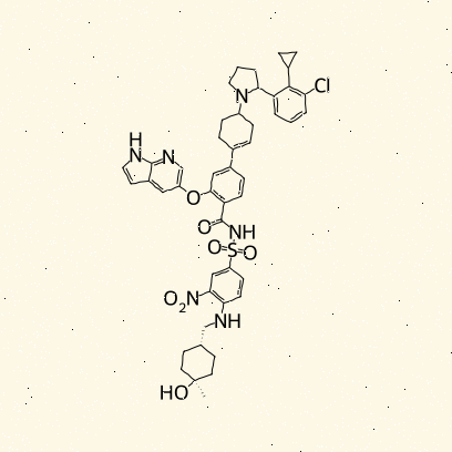 C[C@]1(O)CC[C@H](CNc2ccc(S(=O)(=O)NC(=O)c3ccc(C4=CCC(N5CCCC5c5cccc(Cl)c5C5CC5)CC4)cc3Oc3cnc4[nH]ccc4c3)cc2[N+](=O)[O-])CC1